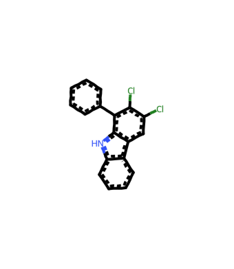 Clc1cc2c([nH]c3ccccc32)c(-c2ccccc2)c1Cl